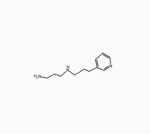 NCCCNCCCc1cccnc1